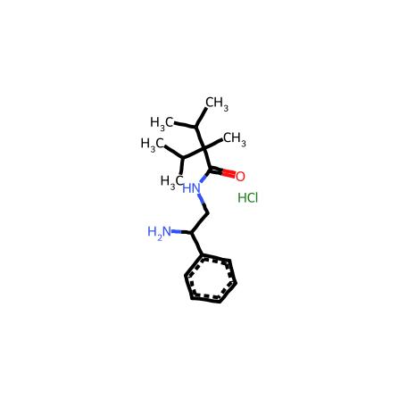 CC(C)C(C)(C(=O)NCC(N)c1ccccc1)C(C)C.Cl